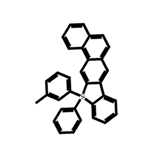 Cc1cccc([Si]2(c3ccccc3)c3ccccc3-c3cc4ccc5ccccc5c4cc32)c1